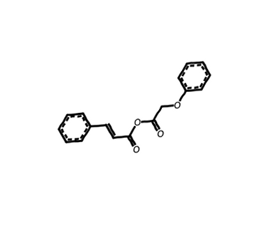 O=C(/C=C/c1ccccc1)OC(=O)COc1ccccc1